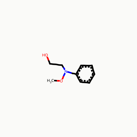 CON(CCO)c1ccccc1